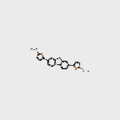 O=Cc1ccc(-c2ccc3c(c2)Cc2cc(-c4ccc(C=O)s4)ccc2-3)s1